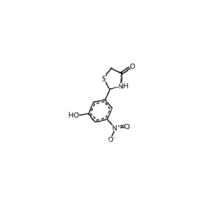 O=C1CSC(c2cc(O)cc([N+](=O)[O-])c2)N1